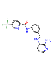 Nc1ncccc1NCc1cccc(NC(=O)c2ccc(C(F)(F)F)cn2)c1